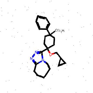 O=C(O)C1(c2ccccc2)CCC(OCC2CC2)(c2nnc3n2CCCCC3)CC1